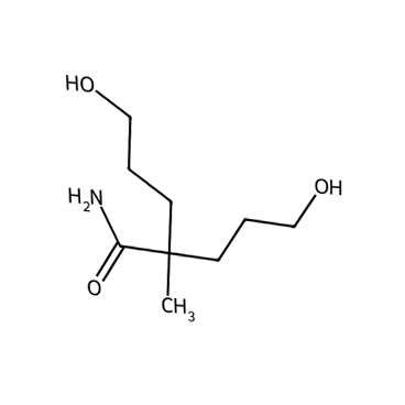 CC(CCCO)(CCCO)C(N)=O